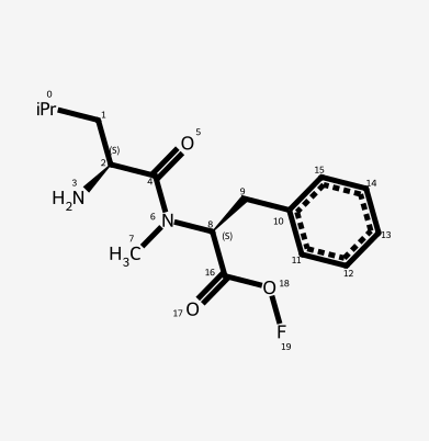 CC(C)C[C@H](N)C(=O)N(C)[C@@H](Cc1ccccc1)C(=O)OF